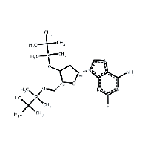 CC(C)(C)[Si](C)(C)OC[C@H]1O[C@@H](n2cnc3c(N)nc(F)nc32)CC1O[Si](C)(C)C(C)(C)C